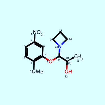 COc1ccc([N+](=O)[O-])cc1OC([C@@H](C)O)N1CCC1